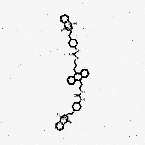 O=C(NCCCc1c2ccccc2c(CCNC(=O)NC2CCC(CCN3[C@@H]4CC[C@H]3c3ccccc34)CC2)c2ccccc12)NC1CCC(CCN2[C@@H]3CC[C@H]2c2ccccc23)CC1